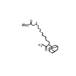 COC(=O)CN(C)CCCCCCCCCN(C(N)=O)C12CC3CC(CC(C3)C1)C2